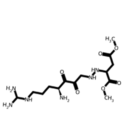 COC(=O)CC(NNCC(=O)C(=O)[C@@H](N)CCCNC(N)N)C(=O)OC